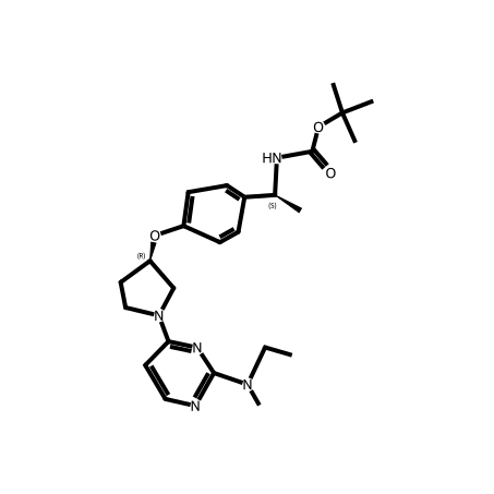 CCN(C)c1nccc(N2CC[C@@H](Oc3ccc([C@H](C)NC(=O)OC(C)(C)C)cc3)C2)n1